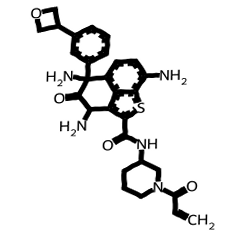 C=CC(=O)N1CCCC(NC(=O)c2sc3c(N)ccc4c3c2C(N)C(=O)C4(N)c2cccc(C3COC3)c2)C1